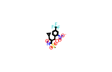 CS(=O)(=O)c1noc(C2CC2)c1C(=O)c1ccc(C(F)(F)F)cc1[N+](=O)[O-]